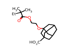 CCC(C)(C)C(=O)OCCOC12CC3CC(C1)CC(C(=O)O)(C3)C2